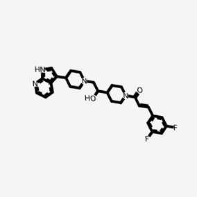 O=C(/C=C/c1cc(F)cc(F)c1)N1CCC(C(O)CN2CCC(c3c[nH]c4ncccc34)CC2)CC1